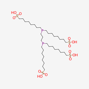 O=S(=O)(O)CCCCCCCCP(CCCCCCCCS(=O)(=O)O)CCCP(CCCCCCCCS(=O)(=O)O)CCCCCCCCS(=O)(=O)O